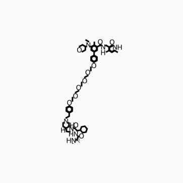 CCN(c1cc(-c2ccc(OCCOCCOCCOCCOCCOc3ccc(CCN4CC[C@@H]5CCN(C(=O)C(NC(=O)[C@H](C)NC)C6CCCCC6)[C@@H]5C4)cc3)cc2)cc(C(=O)NCc2c(C)cc(C)[nH]c2=O)c1C)C1CCOCC1